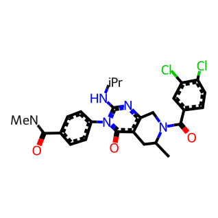 CNC(=O)c1ccc(-n2c(NC(C)C)nc3c(c2=O)CC(C)N(C(=O)c2ccc(Cl)c(Cl)c2)C3)cc1